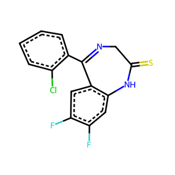 Fc1cc2c(cc1F)C(c1ccccc1Cl)=NCC(=S)N2